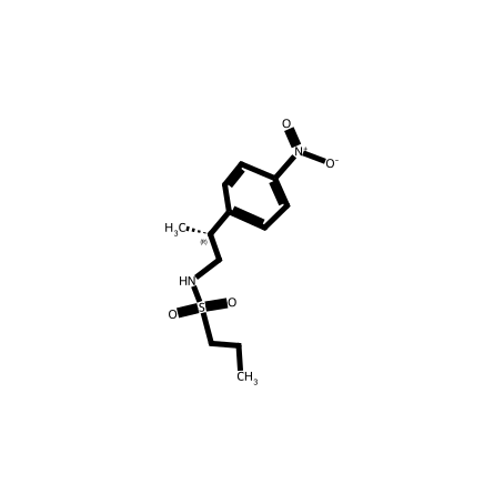 CCCS(=O)(=O)NC[C@H](C)c1ccc([N+](=O)[O-])cc1